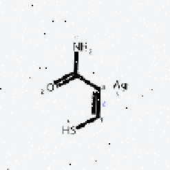 NC(=O)/C=C\S.[Ag]